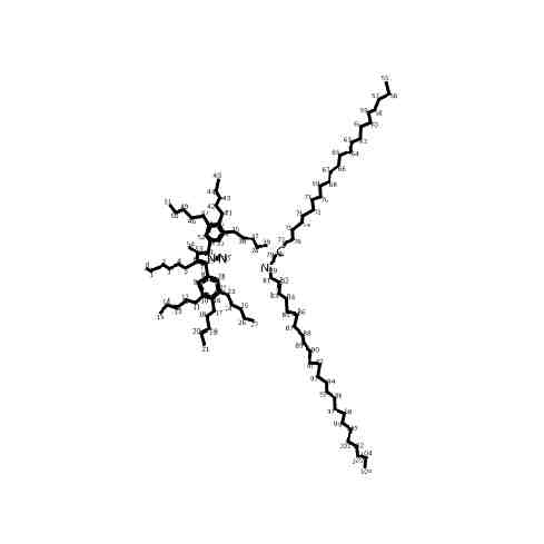 CCCCCCC1=C(c2cc(CCCCC)c(CCCCC)c(CCCCC)c2)[N+](=[N-])C(c2cc(CCCCC)c(CCCCC)c(CCCCC)c2)=C1C.CCCCCCCCCCCCCCCCCCCCCCCC[CH2][Ni][CH2]CCCCCCCCCCCCCCCCCCCCCCCC